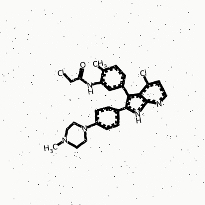 Cc1ccc(-c2c(-c3ccc(N4CCN(C)CC4)cc3)[nH]c3nccc(Cl)c23)cc1NC(=O)CCl